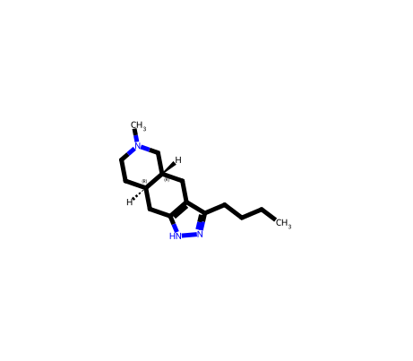 CCCCc1n[nH]c2c1C[C@H]1CN(C)CC[C@@H]1C2